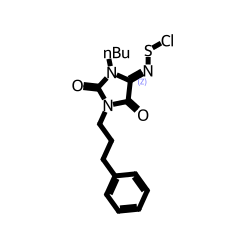 CCCCN1C(=O)N(CCCc2ccccc2)C(=O)/C1=N/SCl